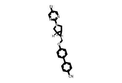 CCc1cnc(N2CC3[C@@H](COc4ccc(-c5ccc(C#N)cc5)cc4)[C@@H]3C2)nc1